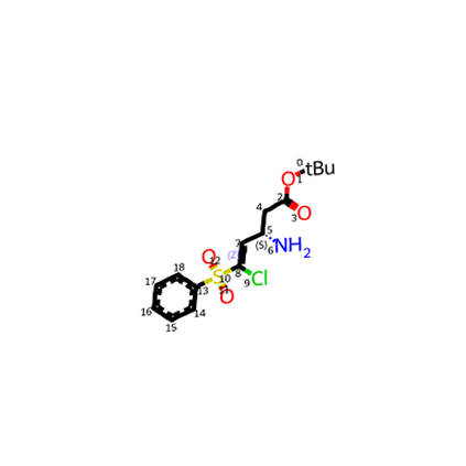 CC(C)(C)OC(=O)C[C@H](N)/C=C(\Cl)S(=O)(=O)c1ccccc1